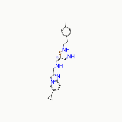 Cc1ccc(CCNS/C(C=N)=C/NCc2cn3cc(C4CC4)ccc3n2)cc1